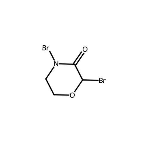 O=C1C(Br)OCCN1Br